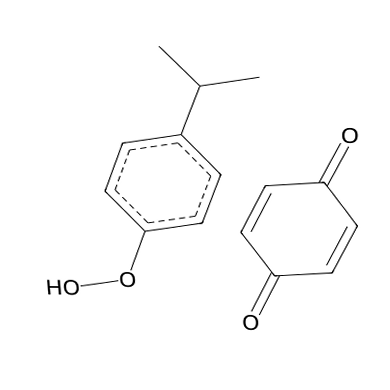 CC(C)c1ccc(OO)cc1.O=C1C=CC(=O)C=C1